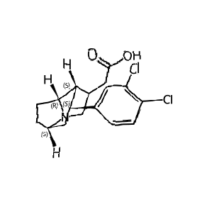 O=C(O)CC1CN2[C@H]3CC[C@@H]2[C@H]1[C@@H](c1ccc(Cl)c(Cl)c1)C3